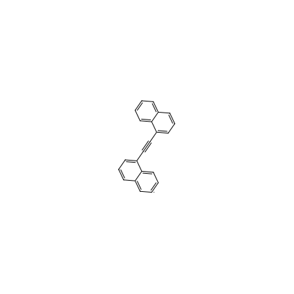 C(#Cc1cccc2ccccc12)c1cccc2c[c]ccc12